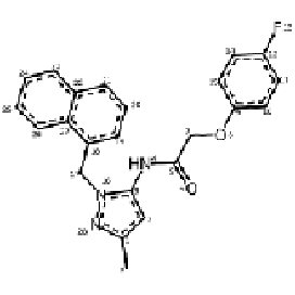 Cc1cc(NC(=O)COc2ccc(F)cc2)n(Cc2cccc3ccccc23)n1